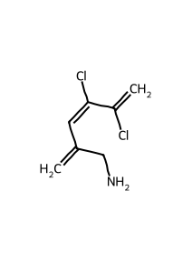 C=C(/C=C(/Cl)C(=C)Cl)CN